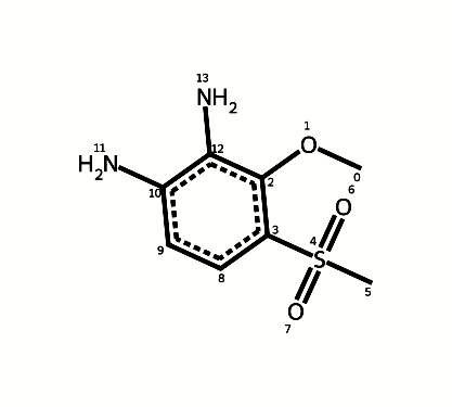 COc1c(S(C)(=O)=O)ccc(N)c1N